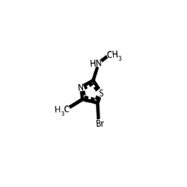 CNc1nc(C)c(Br)s1